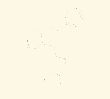 CN(C(=O)C(O)c1cc(-c2ccccc2)nc2ccccc12)N1CCOCC1